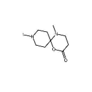 CN1CCC(=O)OC12CCN(I)CC2